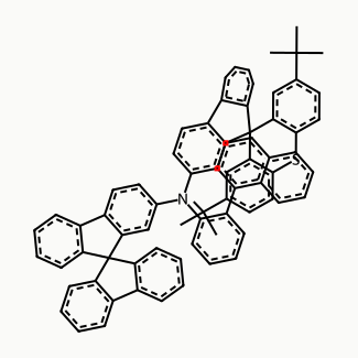 CC(C)(C)c1ccc2c(c1)C1(c3cc(C(C)(C)C)ccc3S2)c2ccccc2-c2ccc(N(c3ccc4c(c3)C3(c5ccccc5-c5ccccc53)c3ccccc3-4)c3ccccc3-c3cccc4ccccc34)cc21